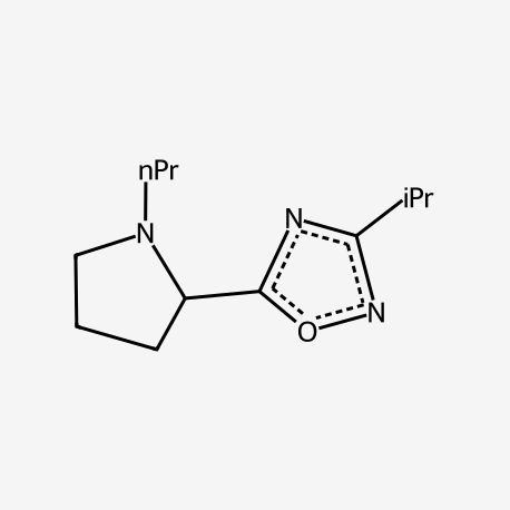 CCCN1CCCC1c1nc(C(C)C)no1